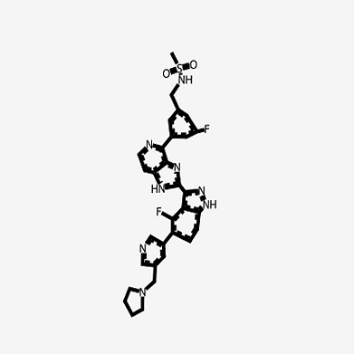 CS(=O)(=O)NCc1cc(F)cc(-c2nccc3[nH]c(-c4n[nH]c5ccc(-c6cncc(CN7CCCC7)c6)c(F)c45)nc23)c1